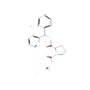 COc1ccccc1C(NC(=O)C1CCCN1C(=O)OC(C)(C)C)c1ccccn1